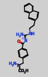 N/C(=N\C(=O)c1ccc(C[C@H](N)C(=O)O)cc1)NCCc1ccc2ccccc2c1